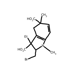 CCC1(C(=O)O)C2=C(C=CC(C)(C(=O)O)C2)N(C)C1CBr